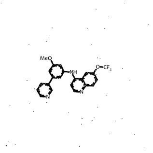 COc1cc(Nc2ccnc3ccc(OC(F)(F)F)cc23)cc(-c2cccnc2)c1